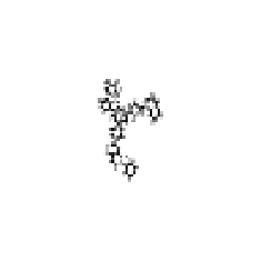 c1ccc(-c2ccc3ccc(-c4ccc(-c5nc(-c6ccc(-c7cccc8ccccc78)cc6)nc(-c6cccc7c6sc6ccccc67)n5)cc4)cc3c2)cc1